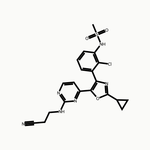 CS(=O)(=O)Nc1cccc(-c2nc(C3CC3)oc2-c2ccnc(NCCC#N)n2)c1Cl